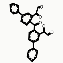 O=CC(=O)c1cc(-c2ccccc2)ccc1C(=O)c1ccc(-c2ccccc2)cc1C(=O)C=O